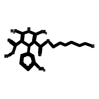 CC1=C(C(=O)OCCCCCCCl)C(c2cccc([N+](=O)[O-])c2)C(C(=O)OC(C)C)=C(C)N1